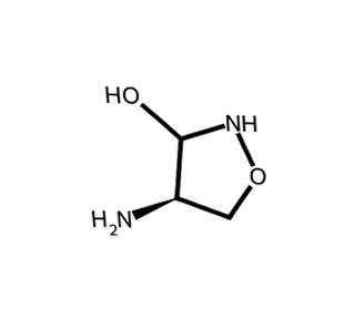 N[C@@H]1CONC1O